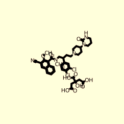 COc1c(C#N)cc2ccccc2c1C(=O)N(C)CC(CCN1CCC(N2CCCNC2=O)CC1)c1ccc(Cl)c(Cl)c1.O=C(O)CC(O)(CC(=O)O)C(=O)O